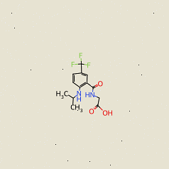 CC(C)Nc1ccc(C(F)(F)F)cc1C(=O)NCC(=O)O